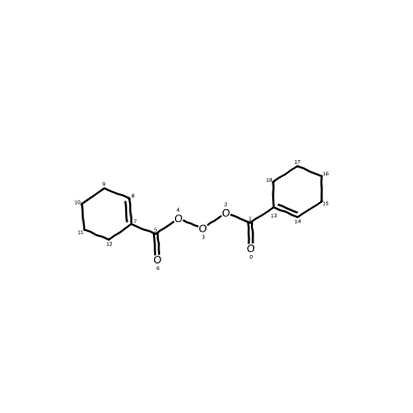 O=C(OOOC(=O)C1=CCCCC1)C1=CCCCC1